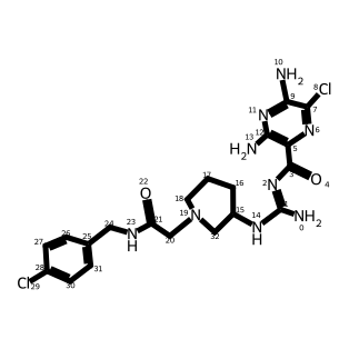 N/C(=N\C(=O)c1nc(Cl)c(N)nc1N)NC1CCCN(CC(=O)NCc2ccc(Cl)cc2)C1